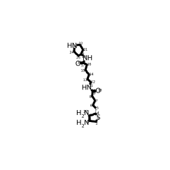 NC1CS[C@@H](CCCCC(=O)NCCCCCC(=O)NC2CCNCC2)[C@@H]1N